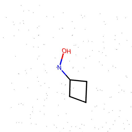 O[N]C1CCC1